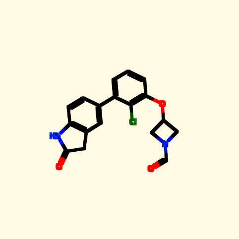 O=CN1CC(Oc2cccc(-c3ccc4c(c3)CC(=O)N4)c2Cl)C1